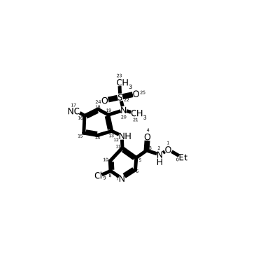 CCONC(=O)c1cnc(Cl)cc1Nc1ccc(C#N)cc1N(C)S(C)(=O)=O